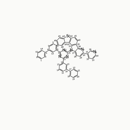 c1ccc(-c2cccc(-c3nc(-c4cccc(-c5ccccc5)c4)nc(-n4c5ccc(-c6cccnc6)nc5c5ccc6sc7ccccc7c6c54)n3)c2)cc1